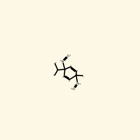 CC(C)C1(N=O)C=CC(C)(N=O)C=C1